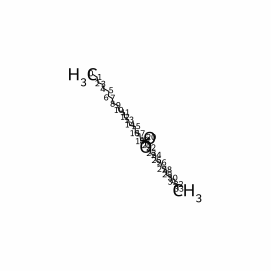 CCCCCCCCCCCCCCCCCCCC(=O)OCCCCCCCCCCCC